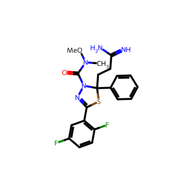 CON(C)C(=O)N1N=C(c2cc(F)ccc2F)SC1(CCC(=N)N)c1ccccc1